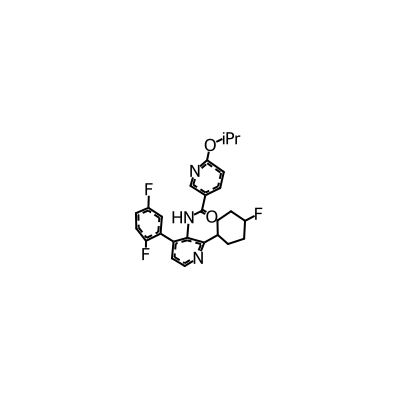 CC(C)Oc1ccc(C(=O)Nc2c(-c3cc(F)ccc3F)ccnc2C2CCC(F)CC2)cn1